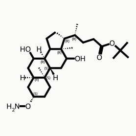 C[C@H](CCC(=O)OC(C)(C)C)[C@H]1CCC2[C@@H]3C(O)C[C@@H]4C[C@@H](ON)CC[C@]4(C)[C@H]3CC(O)[C@@]21C